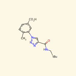 Cc1ccc(C(=O)O)cc1-n1cc(C(=O)NCC(C)(C)C)nn1